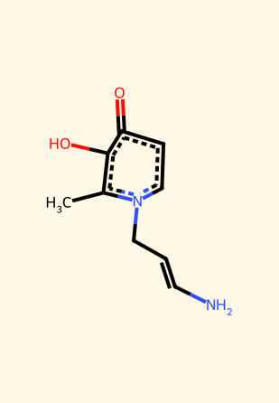 Cc1c(O)c(=O)ccn1CC=CN